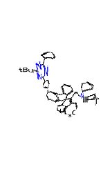 C/C=C\C1=C(/C=C\CN(c2ccccc2)C(C)C)C2(c3ccccc31)c1ccccc1-c1c(-c3ccc(-c4nc(-c5ccccc5)nc(C(C)(C)C)n4)cc3)cccc12